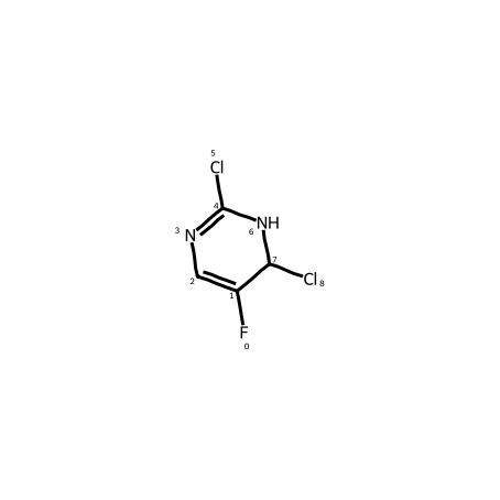 FC1=CN=C(Cl)NC1Cl